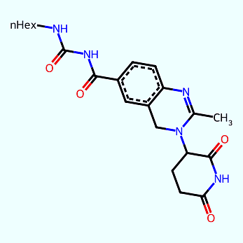 CCCCCCNC(=O)NC(=O)c1ccc2c(c1)CN(C1CCC(=O)NC1=O)C(C)=N2